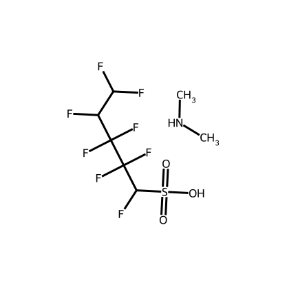 CNC.O=S(=O)(O)C(F)C(F)(F)C(F)(F)C(F)C(F)F